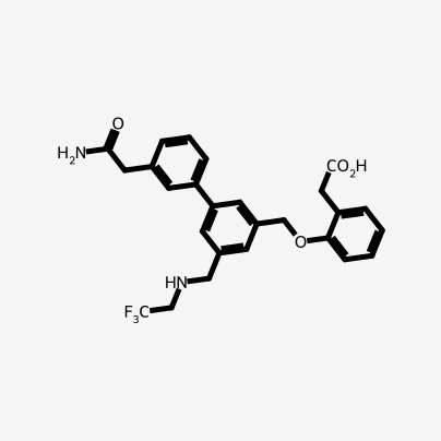 NC(=O)Cc1cccc(-c2cc(CNCC(F)(F)F)cc(COc3ccccc3CC(=O)O)c2)c1